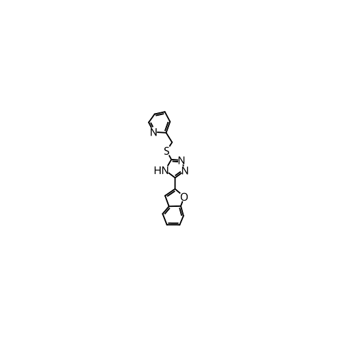 c1ccc(CSc2nnc(-c3cc4ccccc4o3)[nH]2)nc1